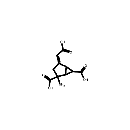 NC1(C(=O)O)CC(=CC(=O)O)C2C(C(=O)O)C21